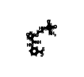 N=C(Nc1cccc(C(F)F)c1)c1nonc1OCCNc1c(N)c(=O)c1=O